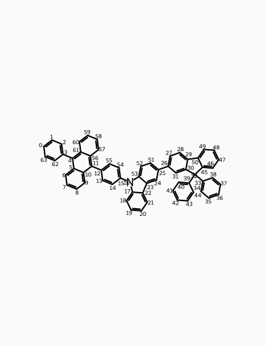 c1ccc(-c2c3ccccc3c(-c3ccc(-n4c5ccccc5c5cc(-c6ccc7c(c6)C(c6ccccc6)(c6ccccc6)c6ccccc6-7)ccc54)cc3)c3ccccc23)cc1